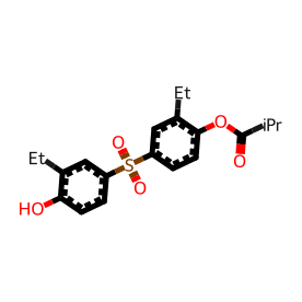 CCc1cc(S(=O)(=O)c2ccc(OC(=O)C(C)C)c(CC)c2)ccc1O